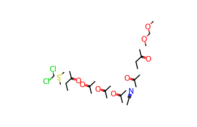 CC#N.CC(C)=O.CC(C)=O.CC(C)=O.CC(C)=O.CCC(C)=O.CCC(C)=O.COCOC.CSC.ClCCl